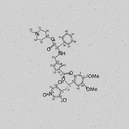 COc1ccc([C@H](Cc2c(Cl)c[n+]([O-])cc2Cl)OC(=O)c2ccc(CNC(C(=O)OC3CCN(C)CC3)c3ccccc3)s2)cc1OC